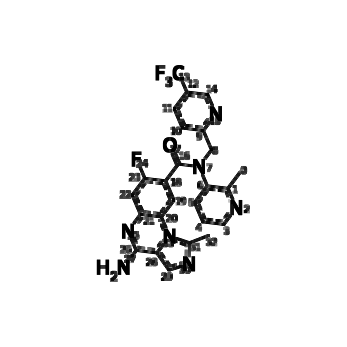 Cc1ncccc1N(Cc1ccc(C(F)(F)F)cn1)C(=O)c1cc2c(cc1F)nc(N)c1cnc(C)n12